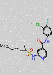 COCCCC(C)S(=O)(=O)Nc1cc(C(=O)Nc2ccc(F)c(Cl)c2)ccn1